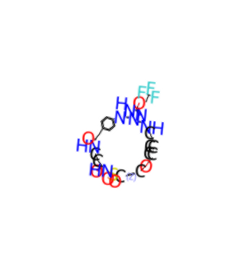 O=C1CCNC(=O)c2ccc(cc2)Nc2nc(nc(OCC(F)(F)F)n2)NCc2ccc(cc2)OC/C=C\CS(=O)(=O)N1